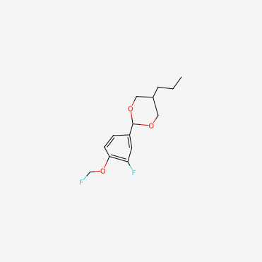 CCCC1COC(c2ccc(OCF)c(F)c2)OC1